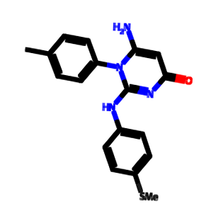 CSc1ccc(Nc2nc(=O)cc(N)n2-c2ccc(C)cc2)cc1